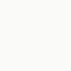 [CH2]/C=C/c1ccc(OCC)cc1